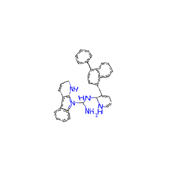 NC(NC1NC=CC=C1c1ccc(-c2ccccc2)c2ccccc12)n1c2c(c3ccccc31)C=CCN2